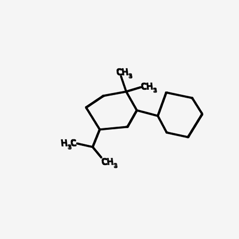 CC(C)C1CCC(C)(C)C(C2CCCCC2)C1